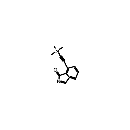 C[Si](C)(C)C#Cc1cccc2c1C(=O)N=C2